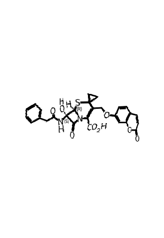 O=C(Cc1ccccc1)N[C@]1(O)C(=O)N2C(C(=O)O)=C(COc3ccc4ccc(=O)oc4c3)C3(CC3)S[C@@H]21